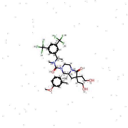 COc1ccc([C@H]2[C@@H]3CC(CCO)(CCO)C(=O)N3CCN2C(=O)N(C)[C@H](C)c2cc(C(F)(F)F)cc(C(F)(F)F)c2)c(C)c1